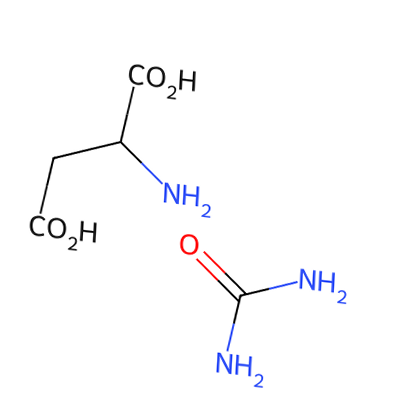 NC(CC(=O)O)C(=O)O.NC(N)=O